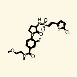 COCCN(C)C(=O)c1ccc(N2CCC(NS(=O)(=O)/C=C/c3ccc(Cl)s3)C2=O)c(F)c1